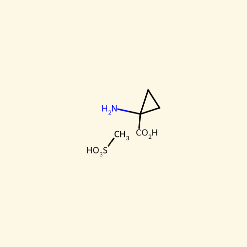 CS(=O)(=O)O.NC1(C(=O)O)CC1